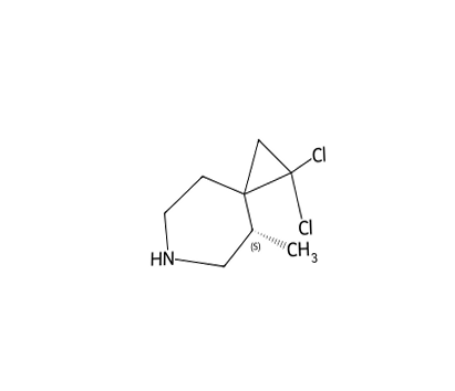 C[C@@H]1CNCCC12CC2(Cl)Cl